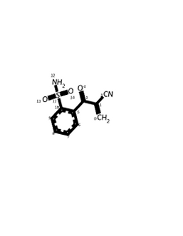 C=C(C#N)C(=O)c1ccccc1S(N)(=O)=O